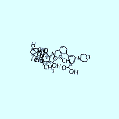 COc1c(CN2OC(O)[C@@H]([C@H](C)O)[C@H]2C(=O)N[C@H]2C[C@H]3C[C@@H]([C@@H]2C)C3(C)C)cccc1-c1cc(C(=O)O)cc(N2CCOCC2)c1